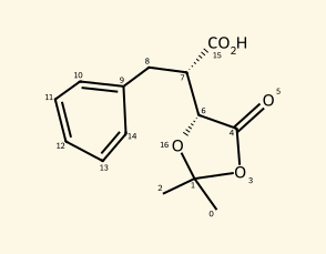 CC1(C)OC(=O)[C@@H]([C@H](Cc2ccccc2)C(=O)O)O1